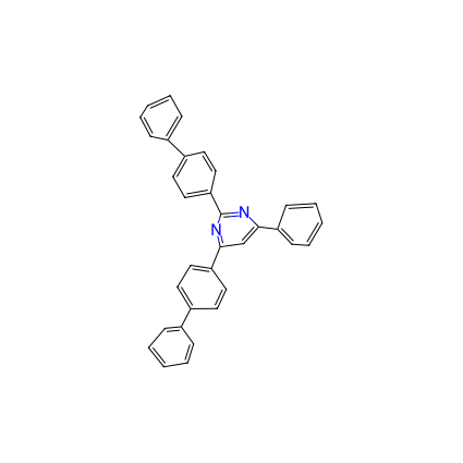 c1ccc(-c2ccc(-c3cc(-c4ccccc4)nc(-c4ccc(-c5ccccc5)cc4)n3)cc2)cc1